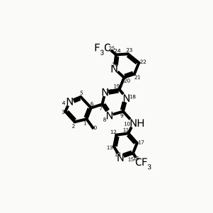 Cc1ccncc1-c1nc(Nc2ccnc(C(F)(F)F)c2)nc(-c2cccc(C(F)(F)F)n2)n1